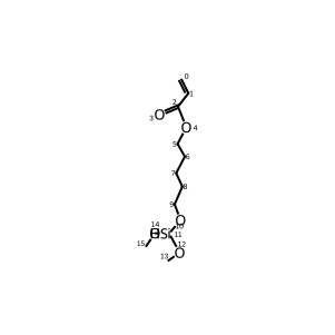 C=CC(=O)OCCCCCO[SiH](OC)OC